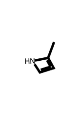 CC1=C=CN1